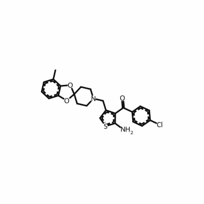 Cc1cccc2c1OC1(CCN(Cc3csc(N)c3C(=O)c3ccc(Cl)cc3)CC1)O2